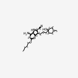 CCCCOc1nc(N)c2[nH]c(C#N)c(CCCC3(O)CCN(C)CC3)c2n1